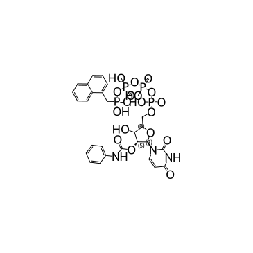 O=C(Nc1ccccc1)O[C@H]1C(O)[C@@H](COP(=O)(O)OP(=O)(O)OP(=O)(O)OP(=O)(O)Cc2cccc3ccccc23)O[C@H]1n1ccc(=O)[nH]c1=O